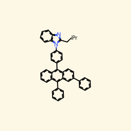 CC(C)Cc1nc2ccccc2n1-c1ccc(-c2c3ccccc3c(-c3ccccc3)c3cc(-c4ccccc4)ccc23)cc1